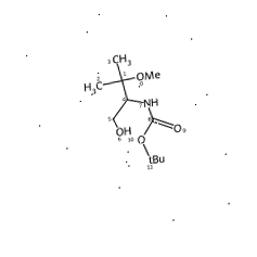 COC(C)(C)C(CO)NC(=O)OC(C)(C)C